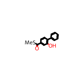 CSC(=O)c1ccc(-c2ccccc2)c(O)c1